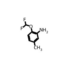 Cc1ccc(OC(F)F)c(N)c1